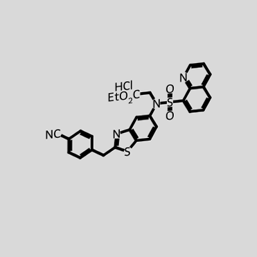 CCOC(=O)CN(c1ccc2sc(Cc3ccc(C#N)cc3)nc2c1)S(=O)(=O)c1cccc2cccnc12.Cl